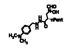 CCCCC[C@@H](CN(O)C=O)C(=O)NNCc1ccc(N(C)C)cc1